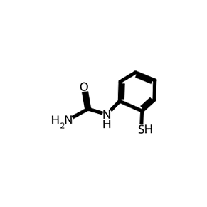 NC(=O)Nc1ccccc1S